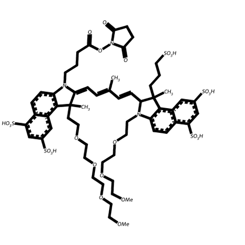 COCCOCCOCCOCCC1(C)\C(=C/C=C(C)/C=C/C2N(CCOCCOCCOC)c3ccc4c(S(=O)(=O)O)cc(S(=O)(=O)O)cc4c3C2(C)CCCS(=O)(=O)O)N(CCCC(=O)ON2C(=O)CCC2=O)c2ccc3c(S(=O)(=O)O)cc(S(=O)(=O)O)cc3c21